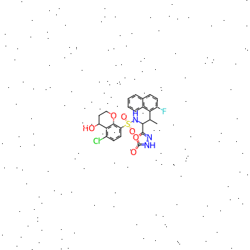 CC(c1c(F)ccc2ccccc12)C(NS(=O)(=O)c1ccc(Cl)c2c1OCCC2O)c1n[nH]c(=O)o1